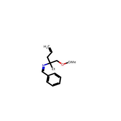 C=CCC(CC)(COOC)/N=C\c1ccccc1